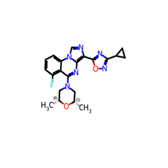 C[C@@H]1CN(c2nc3c(-c4nc(C5CC5)no4)ncn3c3cccc(F)c23)C[C@H](C)O1